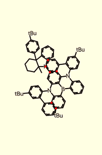 CC(C)(C)c1ccc(C23CCCCC2(C)N(c2cc4c5c(c2)N(c2ccc(C(C)(C)C)cc2-c2ccccc2)c2cc(C(C)(C)C)ccc2B5c2ccccc2N4c2ccc(C(C)(C)C)cc2-c2ccccc2)c2ccccc23)cc1